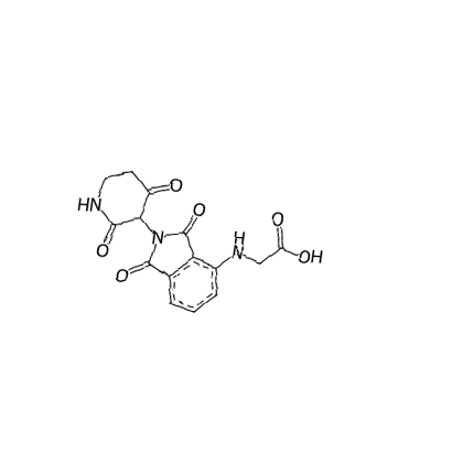 O=C(O)CNc1cccc2c1C(=O)N(C1C(=O)CCNC1=O)C2=O